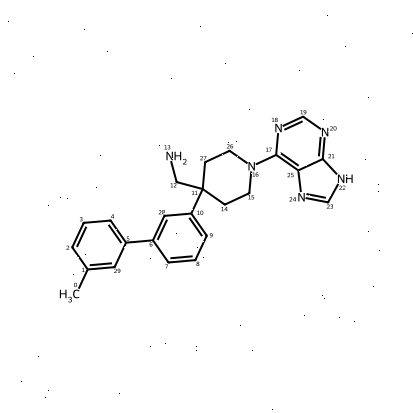 Cc1cccc(-c2cccc(C3(CN)CCN(c4ncnc5[nH]cnc45)CC3)c2)c1